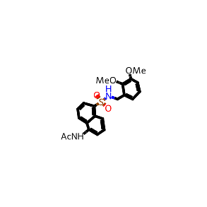 COc1cccc(CNS(=O)(=O)c2cccc3c(NC(C)=O)cccc23)c1OC